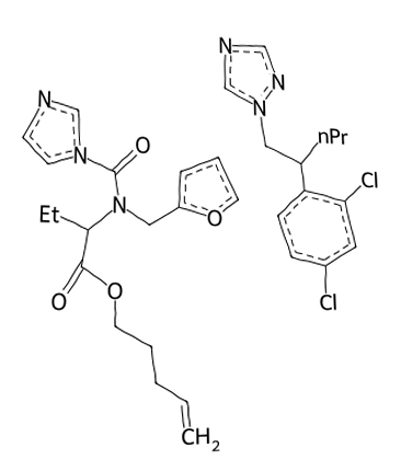 C=CCCCOC(=O)C(CC)N(Cc1ccco1)C(=O)n1ccnc1.CCCC(Cn1cncn1)c1ccc(Cl)cc1Cl